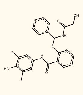 Cc1cc(NC(=O)c2cccnc2SC(NC(=O)CO)c2ccncc2)cc(C)c1O